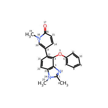 Cc1nc2c(Oc3ccccc3)c(-c3ccc(=O)n(C)c3)ccc2n1C